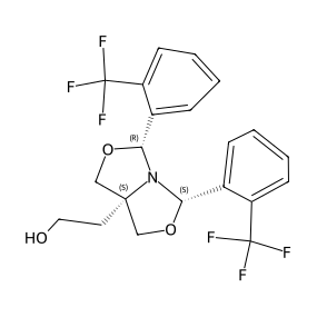 OCC[C@]12CO[C@H](c3ccccc3C(F)(F)F)N1[C@H](c1ccccc1C(F)(F)F)OC2